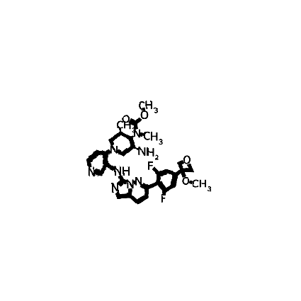 COC(=O)N(C)[C@@H]1[C@H](N)CN(c2ccncc2Nc2ncc3ccc(-c4c(F)cc(C5(OC)COC5)cc4F)nn23)C[C@@H]1C